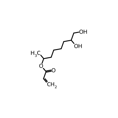 C=CC(=O)OC(C)CCCCC(O)CO